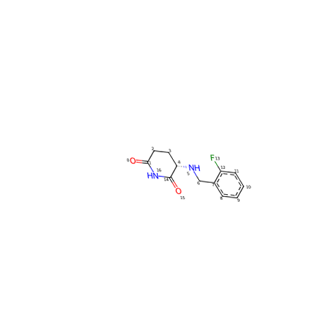 O=C1CC[C@H](NCc2ccccc2F)C(=O)N1